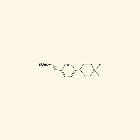 CCCCCCCCCC/C=C/c1ccc(C2CCC(F)(F)CC2)cc1